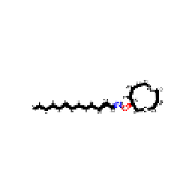 CCCCCCCCCCCC/C=N/OC1CCCCCCCCCC1